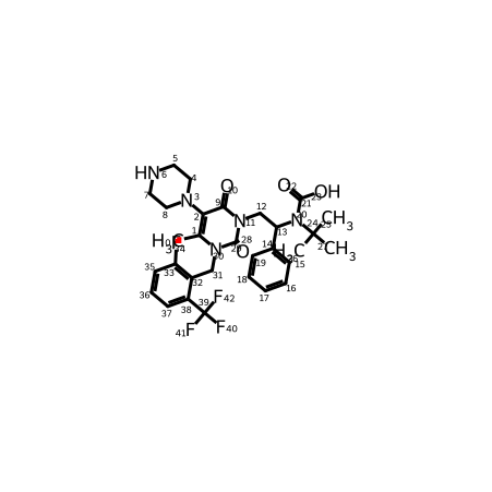 Cc1c(N2CCNCC2)c(=O)n(CC(c2ccccc2)N(C(=O)O)C(C)(C)C)c(=O)n1Cc1c(F)cccc1C(F)(F)F